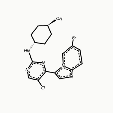 O[C@H]1CC[C@H](Nc2ncc(Cl)c(-c3cnc4ccc(Br)cn34)n2)CC1